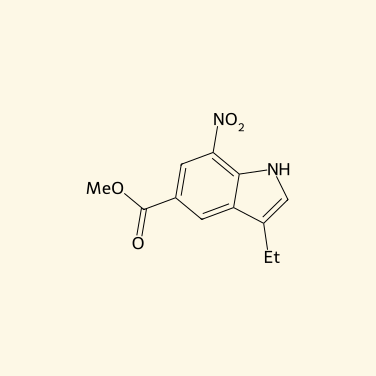 CCc1c[nH]c2c([N+](=O)[O-])cc(C(=O)OC)cc12